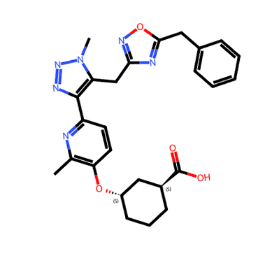 Cc1nc(-c2nnn(C)c2Cc2noc(Cc3ccccc3)n2)ccc1O[C@H]1CCC[C@H](C(=O)O)C1